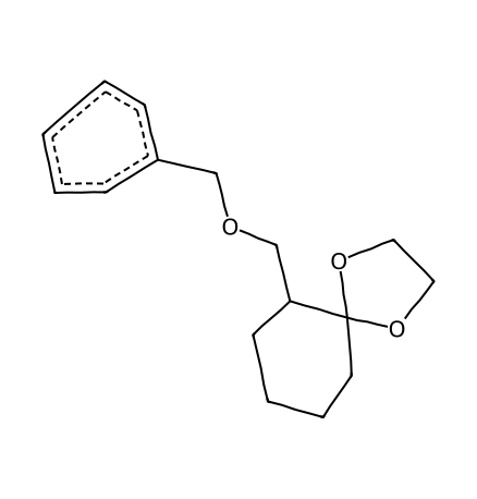 c1ccc(COCC2CCCCC23OCCO3)cc1